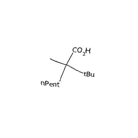 CCCCCC(C)(C(=O)O)C(C)(C)C